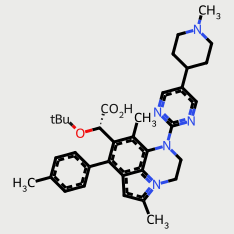 Cc1ccc(-c2c([C@H](OC(C)(C)C)C(=O)O)c(C)c3c4c2cc(C)n4CCN3c2ncc(C3CCN(C)CC3)cn2)cc1